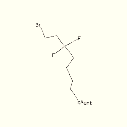 CCCCCCCCCC(F)(F)CCBr